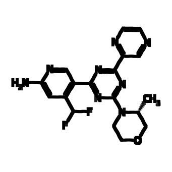 C[C@@H]1COCCN1c1nc(-c2cnccn2)nc(-c2cnc(N)cc2C(F)F)n1